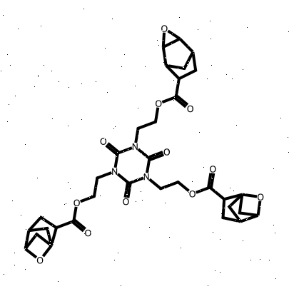 O=C(OCCn1c(=O)n(CCOC(=O)C2CC3CC24CC3O4)c(=O)n(CCOC(=O)C2CC3CC24CC3O4)c1=O)C1CC2CC1C1OC21